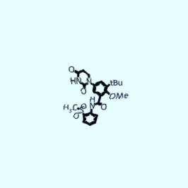 COc1c(C(=O)Nc2ccccc2S(C)(=O)=O)cc(N2CCC(=O)NC2=O)cc1C(C)(C)C